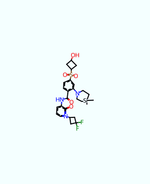 C[Si]1(C)CCN(c2cc(S(=O)(=O)C3CC(O)C3)ccc2C(=O)Nc2cccn(C3CC(F)(F)C3)c2=O)CC1